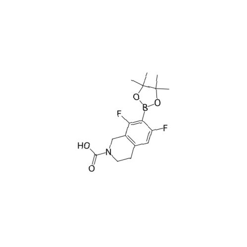 CC1(C)OB(c2c(F)cc3c(c2F)CN(C(=O)O)CC3)OC1(C)C